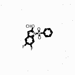 O=Cc1cc2cc(F)c(F)cc2n1S(=O)(=O)c1ccccc1